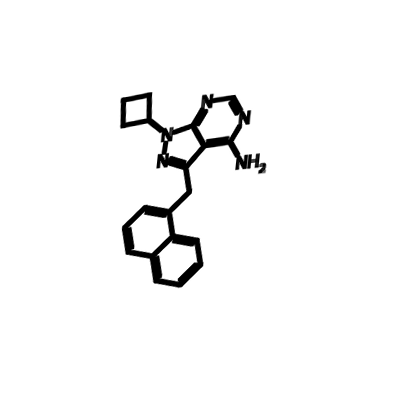 Nc1ncnc2c1c(Cc1cccc3ccccc13)nn2C1CCC1